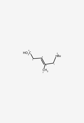 CCCCCC(C)=CCC(=O)O